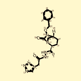 O=C(Cn1cnnn1)NNC(=O)[C@@H]1CC[C@@H]2CN1C(=O)N2OCc1ccccc1